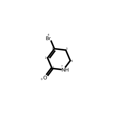 O=C1C=C(Br)CCN1